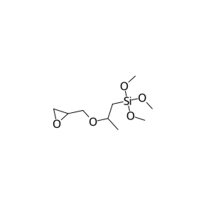 CO[Si](CC(C)OCC1CO1)(OC)OC